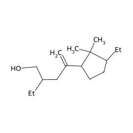 C=C(CC(CC)CO)C1CCC(CC)C1(C)C